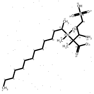 CCCCCCCCCCCCC(C)[N+](C)(C)C(C)(C(=O)[O-])C(N)CCS(=O)(=O)O